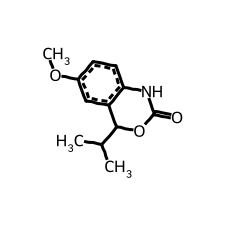 COc1ccc2c(c1)C(C(C)C)OC(=O)N2